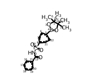 CC1(C)OB(c2ccc(S(=O)(=O)NC(=O)c3ccccc3)cc2)OC1(C)C